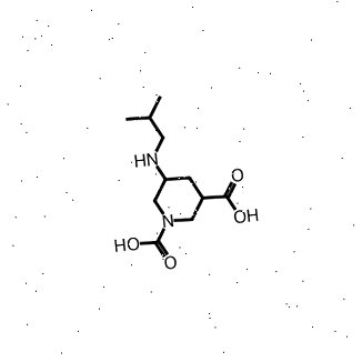 CC(C)CNC1CC(C(=O)O)CN(C(=O)O)C1